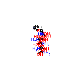 CCCCCC/C=C\CCCOc1cccc(C(=O)NC2C(OC3C(O)C(N)[C@H](OC4C(CO)OC(OC5C(O)C(N)[C@H](OC6C(CO)OC(C)C(N)C6O)O[C@H]5CO)C(N)C4O)O[C@H]3CO)OC(CO)C(O)C2O)c1